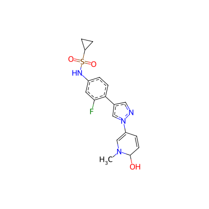 CN1C=C(n2cc(-c3ccc(NS(=O)(=O)C4CC4)cc3F)cn2)C=CC1O